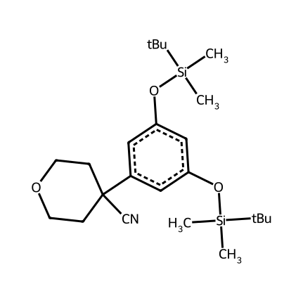 CC(C)(C)[Si](C)(C)Oc1cc(O[Si](C)(C)C(C)(C)C)cc(C2(C#N)CCOCC2)c1